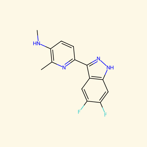 CNc1ccc(-c2n[nH]c3cc(F)c(F)cc23)nc1C